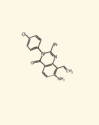 C=Cc1c(N)ccc2c(=O)n(-c3ccc(Cl)cc3)c(C(C)C)nc12